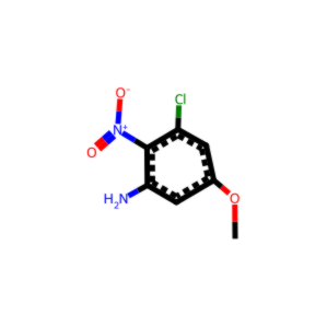 COc1cc(N)c([N+](=O)[O-])c(Cl)c1